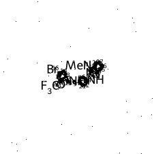 CNc1nc(N[C@H]2CC[C@@H](CNCc3ccc(Br)cc3OC(F)(F)F)CC2)nc2ccccc12